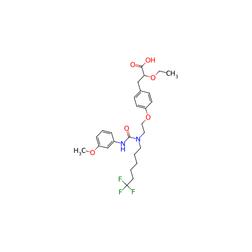 CCOC(Cc1ccc(OCCN(CCCCCC(F)(F)F)C(=O)Nc2cccc(OC)c2)cc1)C(=O)O